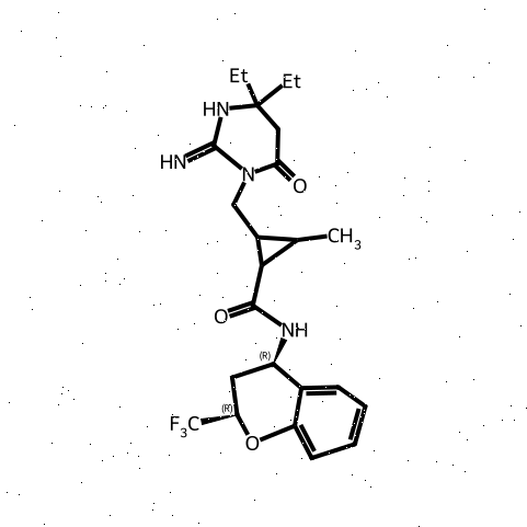 CCC1(CC)CC(=O)N(CC2C(C)C2C(=O)N[C@@H]2C[C@H](C(F)(F)F)Oc3ccccc32)C(=N)N1